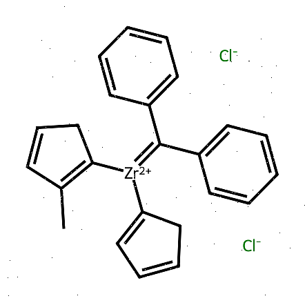 CC1=[C]([Zr+2]([C]2=CC=CC2)=[C](c2ccccc2)c2ccccc2)CC=C1.[Cl-].[Cl-]